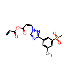 C=CC(=O)OC(=O)/C=C\n1cnc(-c2cc(C(F)(F)F)cc(S(C)(=O)=O)c2)n1